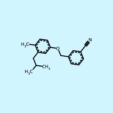 Cc1ccc(OCc2cccc(C#N)c2)cc1CC(C)C